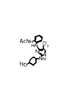 CC(=O)Nc1ccccc1Nc1nc(NC2CCC(O)CC2)ncc1C(F)(F)F